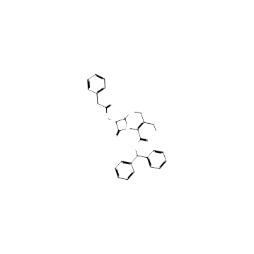 O=C(Cc1ccccc1)N[C@@H]1C(=O)N2C(C(=O)OC(c3ccccc3)c3ccccc3)=C(CI)CS[C@@H]12